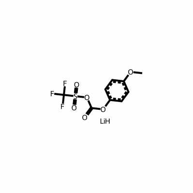 COc1ccc(OC(=O)OS(=O)(=O)C(F)(F)F)cc1.[LiH]